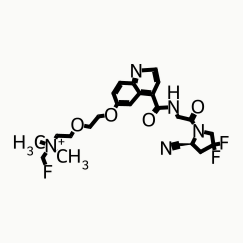 C[N+](C)(CF)CCOCCOc1ccc2nccc(C(=O)NCC(=O)N3CC(F)(F)C[C@H]3C#N)c2c1